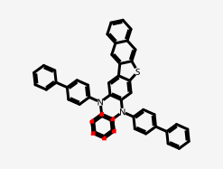 c1ccc(-c2ccc(N(c3ccccc3)c3cc4sc5cc6ccccc6cc5c4cc3N(c3ccccc3)c3ccc(-c4ccccc4)cc3)cc2)cc1